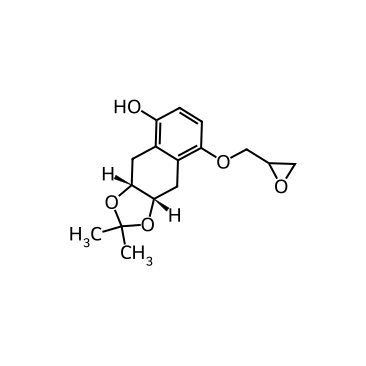 CC1(C)O[C@H]2Cc3c(OCC4CO4)ccc(O)c3C[C@H]2O1